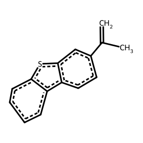 C=C(C)c1ccc2c(c1)sc1ccccc12